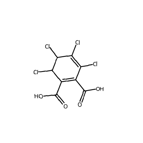 O=C(O)C1=C(C(=O)O)C(Cl)C(Cl)C(Cl)=C1Cl